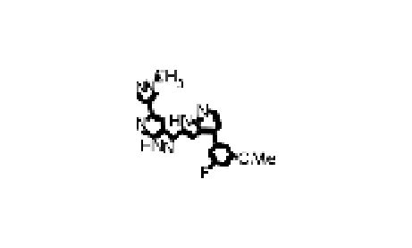 COc1cc(F)cc(-c2ccnc3[nH]c(-c4n[nH]c5cnc(-c6cnn(C)c6)cc45)cc23)c1